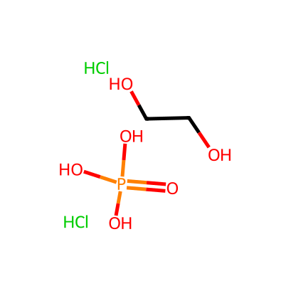 Cl.Cl.O=P(O)(O)O.OCCO